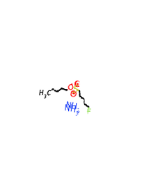 CCCCCOS(=O)(=O)CCCCCF.N.N